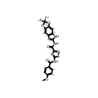 COc1ccc(C(=O)Nc2nc(C(=O)Nc3nc4cc5c(cc4[nH]3)OC(F)(F)O5)ns2)cc1